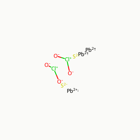 [O-][Cl+][O-].[O-][Cl+][O-].[Pb+2].[Pb+2].[Pb+2].[S-2].[S-2]